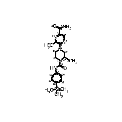 Cc1nc(C(N)=O)cnc1N1CCN(C(=O)Nc2ccc([Si](C)(C)C)cc2)C(C)C1